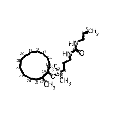 C=CCNC(=O)NCCC[Si](C)(C)OC1CCCCCCCCCCCC1C